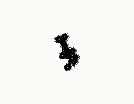 c1ccc(-c2cc(-c3ccccc3)c3c(ccc4ccc(-c5cccc(-c6cc(-c7ccc(-n8c9ccccc9c9ccccc98)cc7)nc(-c7ccccc7)n6)c5)cc43)n2)cc1